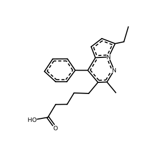 CCc1ccc2c(-c3ccccc3)c(CCCCC(=O)O)c(C)nn12